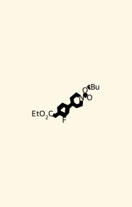 CCOC(=O)Cc1ccc(C2CCN(C(=O)OC(C)(C)C)CC2)cc1F